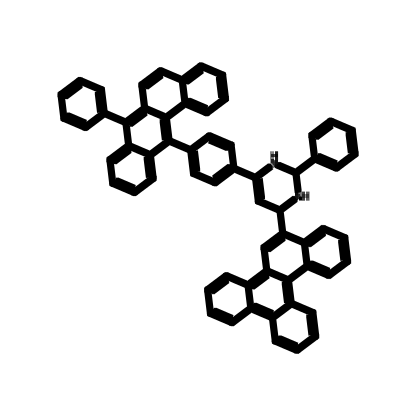 C1=C(c2ccc(-c3c4ccccc4c(-c4ccccc4)c4ccc5ccccc5c34)cc2)NC(c2ccccc2)NC1c1cc2c3ccccc3c3ccccc3c2c2ccccc12